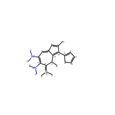 CC1=[C]C2=CC(N(C)C)=C(N(C)C)C(=[Si](C)C)C(C)C2=C1C1=CC=CC1